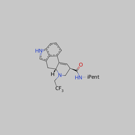 CCC[C@@H](C)NC(=O)[C@@H]1C=C2c3cccc4[nH]cc(c34)C[C@H]2N(CC(F)(F)F)C1